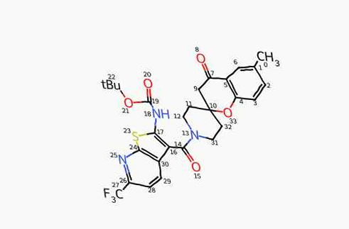 Cc1ccc2c(c1)C(=O)CC1(CCN(C(=O)c3c(NC(=O)OC(C)(C)C)sc4nc(C(F)(F)F)ccc34)CC1)O2